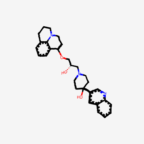 O[C@H](COC1CCN2CCCc3cccc1c32)CN1CCC(O)(c2cnc3ccccc3c2)CC1